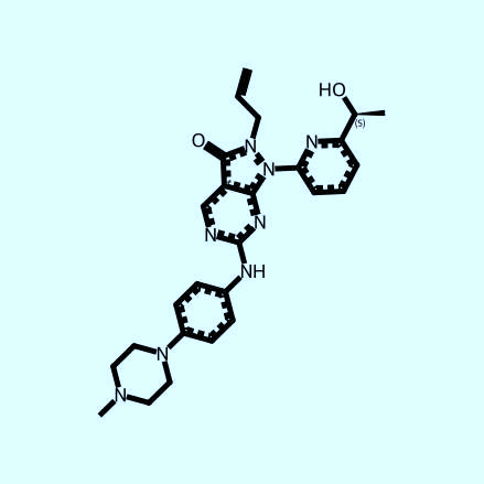 C=CCn1c(=O)c2cnc(Nc3ccc(N4CCN(C)CC4)cc3)nc2n1-c1cccc([C@H](C)O)n1